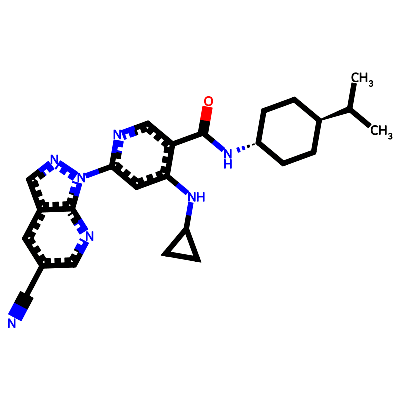 CC(C)[C@H]1CC[C@H](NC(=O)c2cnc(-n3ncc4cc(C#N)cnc43)cc2NC2CC2)CC1